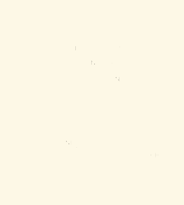 Cc1ccc(Cn2c(=O)n(C)c3cc(-c4ccccc4N)ccc32)cc1